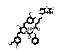 Cc1ccc(/C=C2\CN(C(=O)[C@H](Cc3ccccc3)NC(=O)CCCC[C@@H]3SCC4NC(=O)NC43)C/C(=C\c3ccc(Cl)c(Cl)c3)C2=O)cc1Cl